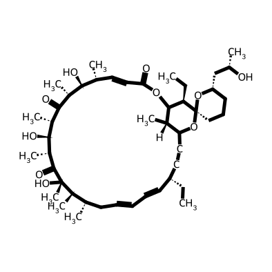 CC[C@@H]1/C=C/C=C/C[C@H](C)[C@@H](C)[C@](C)(O)C(=O)[C@H](C)[C@@H](O)[C@H](C)C(=O)[C@H](C)[C@@H](O)[C@H](C)/C=C/C(=O)OC2[C@@H](C)C(CC1)O[C@@]1(CCC[C@@H](C[C@H](C)O)O1)[C@@H]2CC